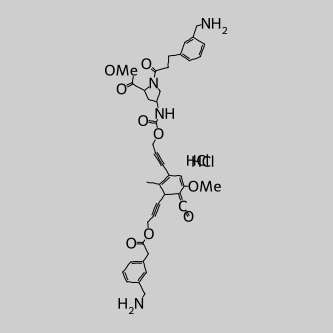 COC(=O)C1CC(NC(=O)OCC#CC2=C(C)C(C#CCOC(=O)Cc3cccc(CN)c3)C(=C=O)C(OC)=C2)CN1C(=O)CCc1cccc(CN)c1.Cl.Cl